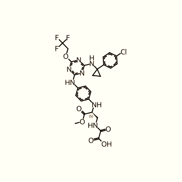 COC(=O)[C@H](CNC(=O)C(=O)O)Nc1ccc(Nc2nc(NC3(c4ccc(Cl)cc4)CC3)nc(OCC(F)(F)F)n2)cc1